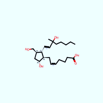 CCCCCC(C)(O)/C=C/[C@H]1[C@H](CO)C[C@@H](O)[C@@H]1C/C=C\CCCC(=O)O